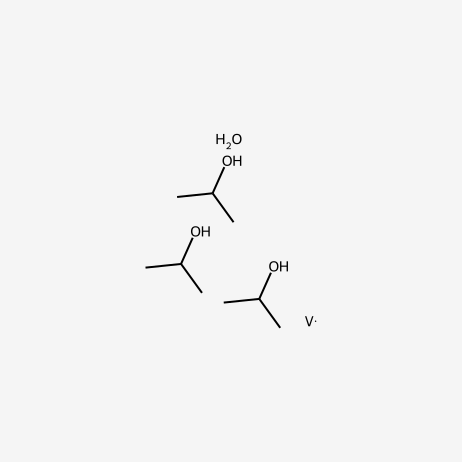 CC(C)O.CC(C)O.CC(C)O.O.[V]